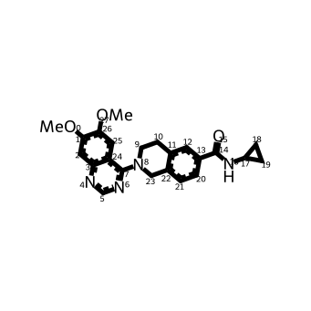 COc1cc2ncnc(N3CCc4cc(C(=O)NC5CC5)ccc4C3)c2cc1OC